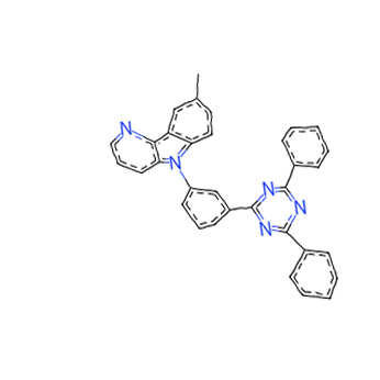 Cc1ccc2c(c1)c1ncccc1n2-c1cccc(-c2nc(-c3ccccc3)nc(-c3ccccc3)n2)c1